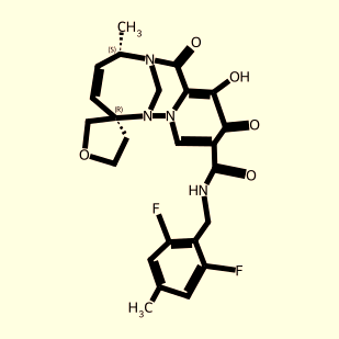 Cc1cc(F)c(CNC(=O)c2cn3c(c(O)c2=O)C(=O)N2CN3[C@@]3(C=C[C@@H]2C)CCOC3)c(F)c1